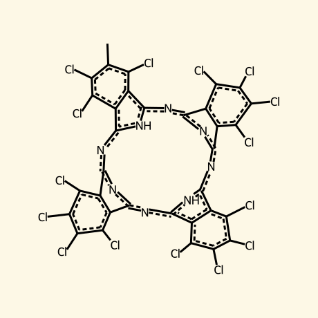 Cc1c(Cl)c(Cl)c2c3nc4nc(nc5[nH]c(nc6nc(nc([nH]3)c2c1Cl)-c1c(Cl)c(Cl)c(Cl)c(Cl)c1-6)c1c(Cl)c(Cl)c(Cl)c(Cl)c51)-c1c(Cl)c(Cl)c(Cl)c(Cl)c1-4